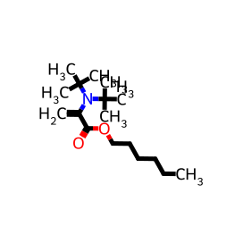 C=C(C(=O)OCCCCCC)N(C(C)(C)C)C(C)(C)C